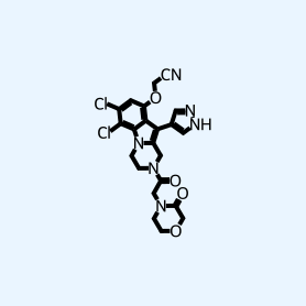 N#CCOc1cc(Cl)c(Cl)c2c1c(-c1cn[nH]c1)c1n2CCN(C(=O)CN2CCOCC2=O)C1